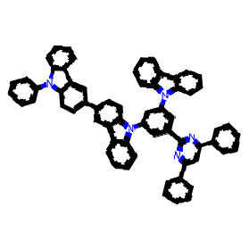 C1=C(c2ccc3c(c2)c2ccccc2n3-c2cc(-c3nc(-c4ccccc4)cc(-c4ccccc4)n3)cc(-n3c4ccccc4c4ccccc43)c2)C=C2c3ccccc3N(c3ccccc3)C2C1